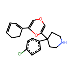 Clc1ccc(C2(C3=COC=C(C4=CC=CCC4)O3)CCNCC2)cc1